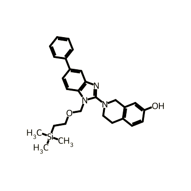 C[Si](C)(C)CCOCn1c(N2CCc3ccc(O)cc3C2)nc2cc(-c3ccccc3)ccc21